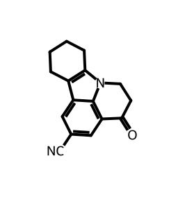 N#Cc1cc2c3c(c1)c1c(n3CCC2=O)CCCC1